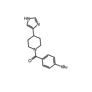 CC(C)(C)c1ccc(C(=O)N2CCC(c3c[nH]cn3)CC2)cc1